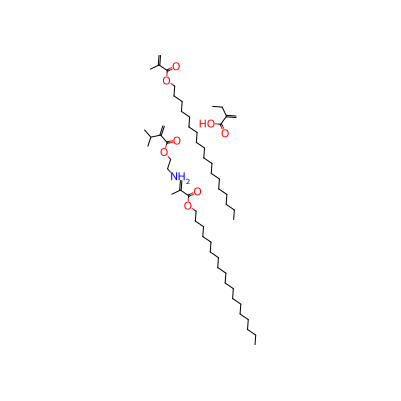 C=C(C(=O)OCCN)C(C)C.C=C(C)C(=O)OCCCCCCCCCCCCCCCCCC.C=C(C)C(=O)OCCCCCCCCCCCCCCCCCC.C=C(CC)C(=O)O